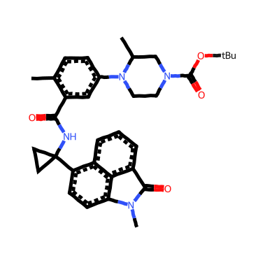 Cc1ccc(N2CCN(C(=O)OC(C)(C)C)CC2C)cc1C(=O)NC1(c2ccc3c4c(cccc24)C(=O)N3C)CC1